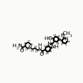 COc1ncccc1-c1ccc(O)c(-c2nc3cc(C(=O)NCCCN4CCCC(C(N)=O)C4)ccc3[nH]2)c1